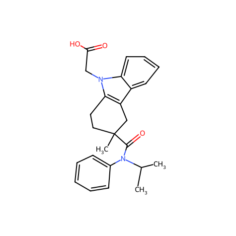 CC(C)N(C(=O)C1(C)CCc2c(c3ccccc3n2CC(=O)O)C1)c1ccccc1